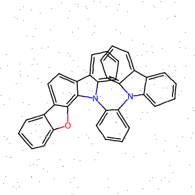 c1ccc(-n2c3ccccc3c3ccc4c5ccccc5oc4c32)c(-n2c3ccccc3c3ccccc32)c1